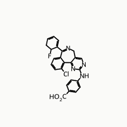 O=C(O)c1ccc(Nc2ncc3c(n2)-c2c(Cl)cccc2C(C2=CC=CCC2F)=NC3)cc1